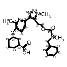 Cc1nc(-c2nnn(C)c2CCOC(=O)N(C)CC2=CC=CCC2)ccc1O[C@H]1CCC[C@H](C(=O)O)C1